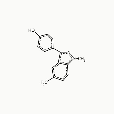 Cn1nc(-c2ccc(O)cc2)c2cc(C(F)(F)F)ccc21